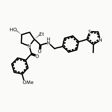 CC[C@@]1(C(=O)NCc2ccc(-c3scnc3C)cc2)C[C@@H](O)CN1C(=O)c1cccc(OC)c1